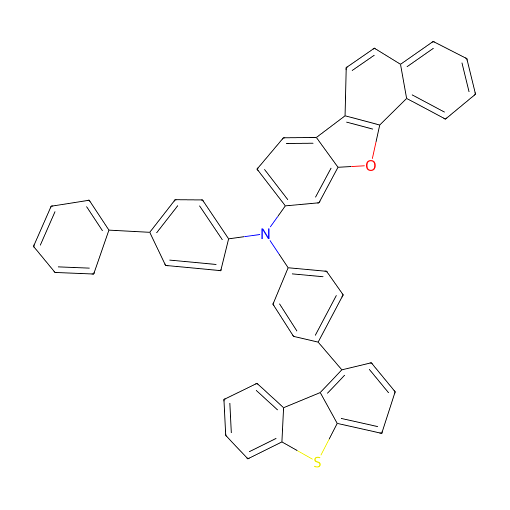 c1ccc(-c2ccc(N(c3ccc(-c4cccc5sc6ccccc6c45)cc3)c3ccc4c(c3)oc3c5ccccc5ccc43)cc2)cc1